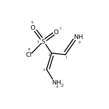 N=C/C(=C\N)S(=O)(=O)Cl